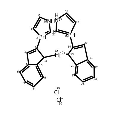 C1=C[PH](C2=Cc3ccccc3[CH]2[Hf+2][CH]2C([PH]3=CNC=C3)=Cc3ccccc32)=CN1.[Cl-].[Cl-]